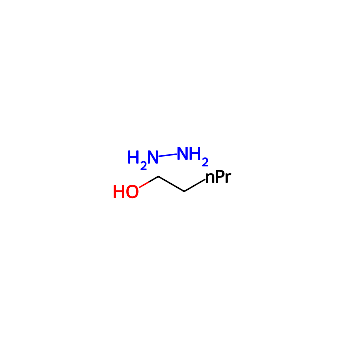 CCCCCO.NN